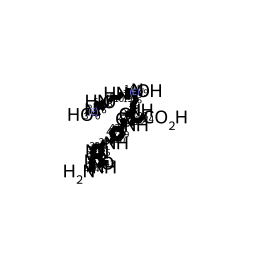 C/C(=N\O)C(C)(C)NOCCNC(C)(C)/C(CCNC(=O)C(CCC(=O)O)NC(=O)c1ccc(NCc2cnc3nc(N)[nH]c(=O)c3n2)cc1)=N/O